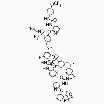 Cc1ccc(NC(=O)Nc2ccc(C(C)Cc3ccc(Oc4ncccc4NC(=O)Nc4ccc(OC(F)(F)F)cc4)c(C4(C(F)(F)F)CCN4CC(C)(C)C)c3)cc2F)c(Oc2ccc(CC(C)c3ccc(NC(=O)Nc4cccnc4Oc4ccccc4C4(C(C)(F)F)CCO4)c(F)c3)cc2C2(C(F)(F)F)CCO2)n1